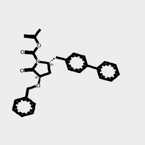 C=C(C)OC(=O)N1C(=O)[C@H](OCc2ccccc2)C[C@H]1Cc1ccc(-c2ccccc2)cc1